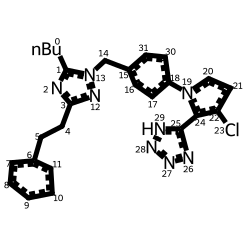 CCCCc1nc(CCc2ccccc2)nn1Cc1ccc(-n2ccc(Cl)c2-c2nnn[nH]2)cc1